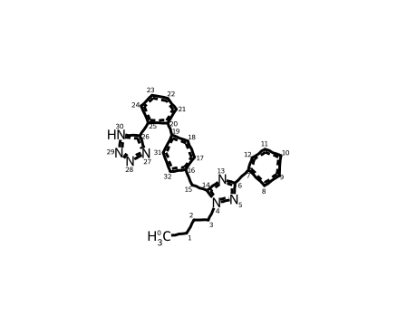 CCCCn1nc(-c2ccccc2)nc1Cc1ccc(-c2ccccc2-c2nnn[nH]2)cc1